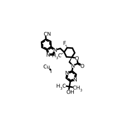 CC(C)(O)c1cnc(N2C[C@@]3(CC[C@@H](F)[C@](C)(Cn4cnc5ccc(C#N)cc54)C3)OC2=O)cn1.[Cu][I]